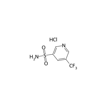 Cl.NS(=O)(=O)c1cncc(C(F)(F)F)c1